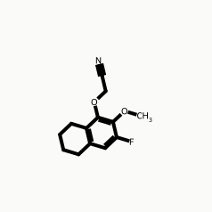 COc1c(F)cc2c(c1OCC#N)CCCC2